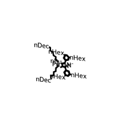 CCCCCCCCCCCCCCCC[CH2][Pd][CH2]CCCCCCCCCCCCCCCC.CCCCCCc1cc(CCCCCC)cc(C2=C(C)C(CCCC)=C(c3cc(CCCCCC)cc(CCCCCC)c3)[N+]2=[N-])c1